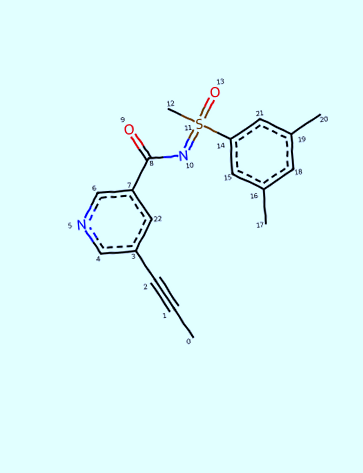 CC#Cc1cncc(C(=O)N=S(C)(=O)c2cc(C)cc(C)c2)c1